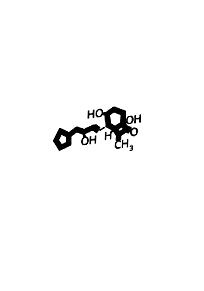 CC1C(=O)[C@]2(O)CC[C@H](O)[C@@H](/C=C/[C@@H](O)CC3CCCC3)[C@H]12